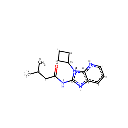 CC(CC(=O)Nc1nc2cccnc2n1C1CCC1)C(F)(F)F